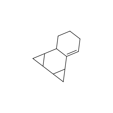 C1=C2C3CC3C3CC3C2CCC1